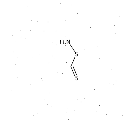 NSC=S